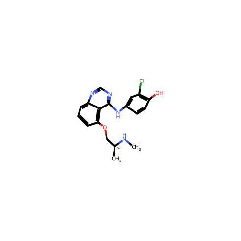 CN[C@@H](C)COc1cccc2ncnc(Nc3ccc(O)c(Cl)c3)c12